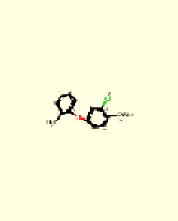 [CH2]c1ccccc1Oc1ccc(OC)c(Cl)c1